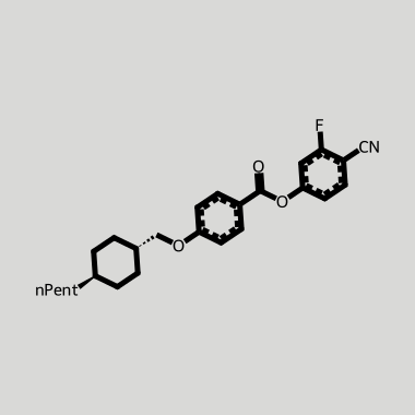 CCCCC[C@H]1CC[C@H](COc2ccc(C(=O)Oc3ccc(C#N)c(F)c3)cc2)CC1